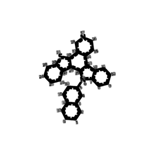 c1ccc2cc(-n3c4ccccc4c4c5ccncc5c5sc6ccccc6c5c43)ccc2c1